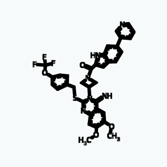 COc1cc2nc(SCc3ccc(OC(F)(F)F)cc3)n(C3CN(C(=O)c4cc5ccc(-c6cccnc6)cc5[nH]4)C3)c(=N)c2cc1OC